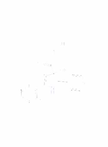 CCOC(=O)C1(O)N=C(c2ccccc2)NC1c1cccc(Cl)c1